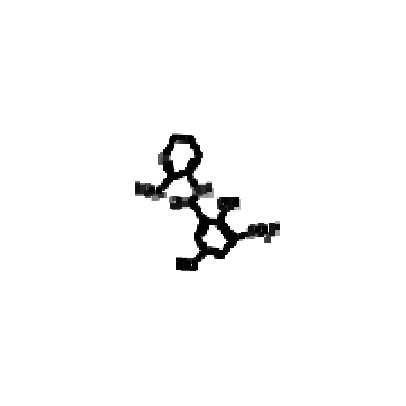 O=C(Nc1cccnc1C(=O)O)c1cc(O)cc(S(=O)(=O)O)c1O